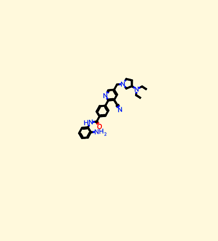 CCN(CC)C1CCN(Cc2cnc(-c3ccc(C(=O)Nc4ccccc4N)cc3)c(C#N)c2)C1